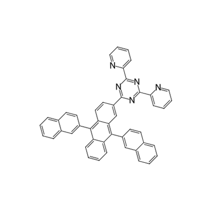 c1ccc(-c2nc(-c3ccc4c(-c5ccc6ccccc6c5)c5ccccc5c(-c5ccc6ccccc6c5)c4c3)nc(-c3ccccn3)n2)nc1